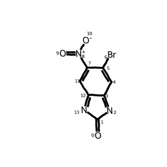 O=C1N=c2cc(Br)c([N+](=O)[O-])cc2=N1